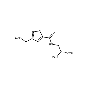 COCc1cc(C(=O)NCC(OC)OC)[nH]n1